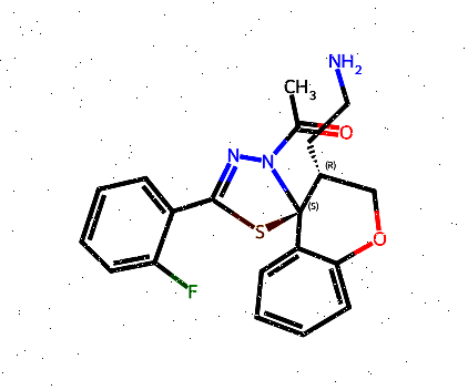 CC(=O)N1N=C(c2ccccc2F)S[C@@]12c1ccccc1OC[C@H]2CCN